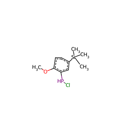 COc1ccc([Si](C)(C)C)cc1PCl